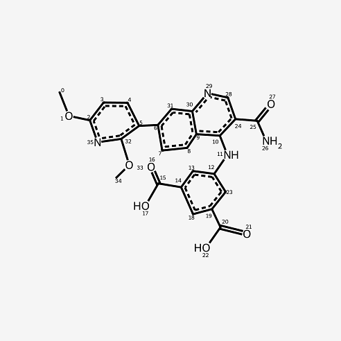 COc1ccc(-c2ccc3c(Nc4cc(C(=O)O)cc(C(=O)O)c4)c(C(N)=O)cnc3c2)c(OC)n1